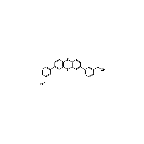 OCc1cccc(-c2ccc3c(c2)Sc2cc(-c4cccc(CO)c4)ccc2S3)c1